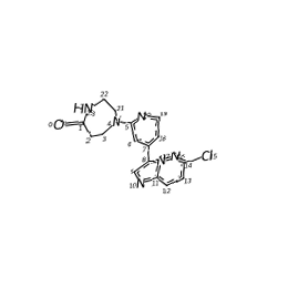 O=C1CCN(c2cc(-c3cnc4ccc(Cl)nn34)ccn2)CCN1